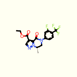 CCOC(=O)c1cnn2c1C(=O)N(c1ccc(C(F)(F)F)c(F)c1)C[C@@H]2C